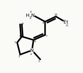 C=C1CCN(C)/C1=C/C(N)=C\CC